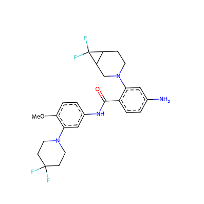 COc1ccc(NC(=O)c2ccc(N)cc2N2CCC3C(C2)C3(F)F)cc1N1CCC(F)(F)CC1